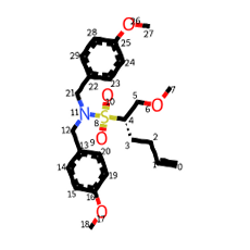 C=CCC[C@@H](COC)S(=O)(=O)N(Cc1ccc(OC)cc1)Cc1ccc(OC)cc1